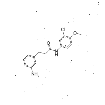 COc1ccc(NC(=O)CCc2cccc(N)c2)cc1Cl